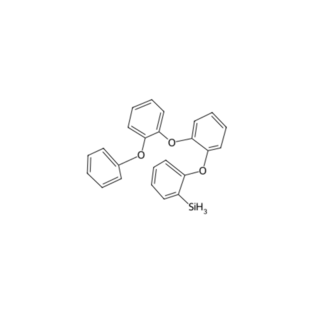 [SiH3]c1ccccc1Oc1ccccc1Oc1ccccc1Oc1ccccc1